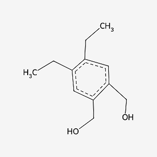 CCc1cc(CO)c(CO)cc1CC